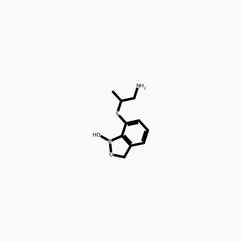 CC(CN)Sc1cccc2c1B(O)OC2